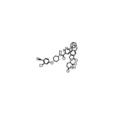 N#Cc1ccc(O[C@H]2CC[C@H](NC(=O)c3ccc(N4CC5CC(C4)N5Cc4cc5c(cc4F)C(=O)N(C4CCC(=O)NC4=O)C5)nn3)CC2)cc1Cl